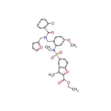 CCOC(=O)c1oc2ccc(S(=O)(=O)N(CC)c3cc(OC)ccc3CN(Cc3ccco3)C(=O)c3ccccc3Cl)cc2c1C